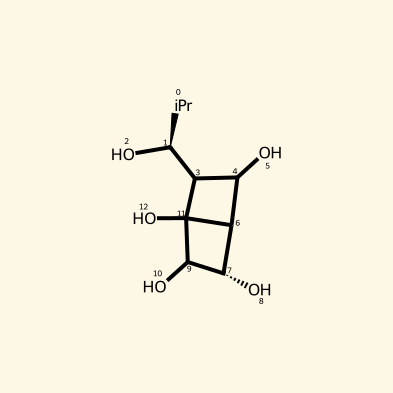 CC(C)[C@H](O)C1C(O)C2[C@H](O)C(O)C21O